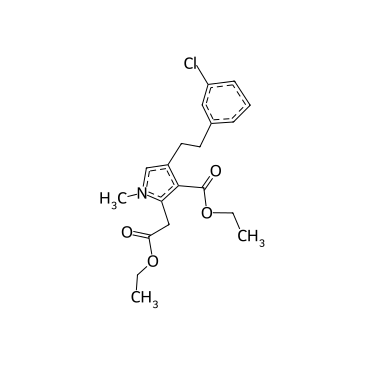 CCOC(=O)Cc1c(C(=O)OCC)c(CCc2cccc(Cl)c2)cn1C